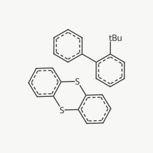 CC(C)(C)c1ccccc1-c1ccccc1.c1ccc2c(c1)Sc1ccccc1S2